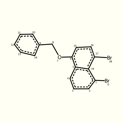 Brc1cccc2c(OCc3ccccc3)ccc(Br)c12